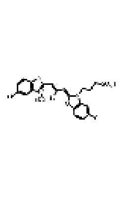 CCCC[n+]1c(/C=C(/C=C2\Oc3ccc(Cl)cc3N2CCCS(=O)(=O)O)CC)oc2ccc(Cl)cc21